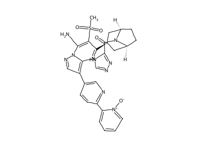 CS(=O)(=O)c1c([C@H]2C[C@H]3CC[C@@H](C2)N3C(=O)c2nnc[nH]2)nc2c(-c3ccc(-c4cccc[n+]4[O-])nc3)cnn2c1N